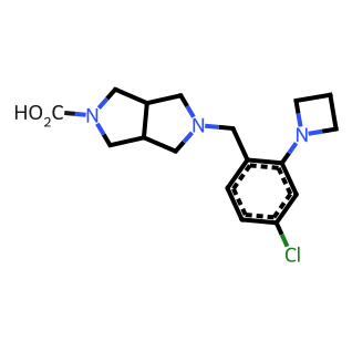 O=C(O)N1CC2CN(Cc3ccc(Cl)cc3N3CCC3)CC2C1